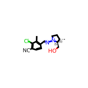 Cc1c(/C=N/N2CC[C@H](C)[C@H]2CO)ccc(C#N)c1Cl